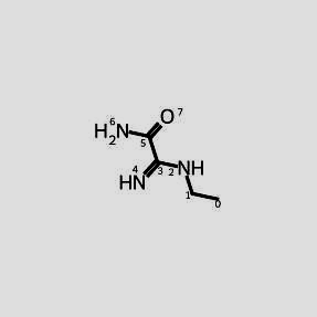 CCNC(=N)C(N)=O